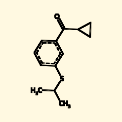 CC(C)Sc1cccc(C(=O)C2CC2)c1